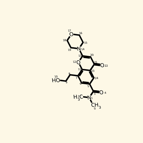 CN(C)C(=O)c1cc(CCO)c2oc(N3CCOCC3)cc(=O)c2c1